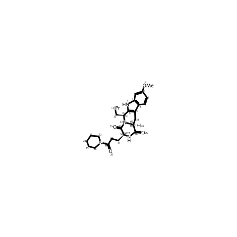 COc1ccc2c3c([nH]c2c1)[C@H](CC(C)C)N1C(=O)[C@H](CCC(=O)N2CCCCC2)NC(=O)[C@@H]1C3